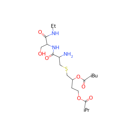 CCNC(=O)C(CO)NC(=O)C(N)CSCC(CCOC(=O)C(C)C)OC(=O)C(C)CC